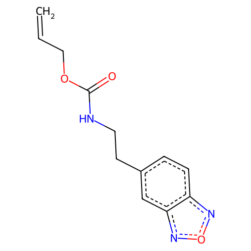 C=CCOC(=O)NCCc1ccc2nonc2c1